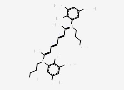 C\C(=C/C=C/C=C/C(C)=[N+](\CCCS(=O)(=O)O)c1cc(S(=O)(=O)O)cc(C(=O)O)c1C)N(CCCS(=O)(=O)O)c1cc(S(=O)(=O)O)cc(C(=O)O)c1C